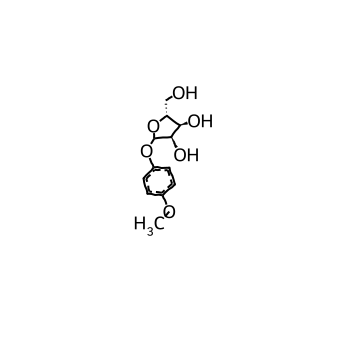 COc1ccc(OC2O[C@H](CO)[C@@H](O)[C@H]2O)cc1